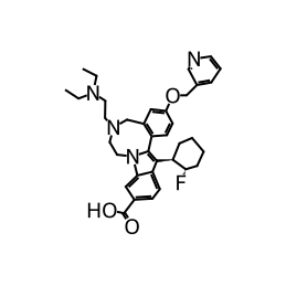 CCN(CC)CCN1CCn2c(c([C@H]3CCCC[C@@H]3F)c3ccc(C(=O)O)cc32)-c2ccc(OCc3cccnc3)cc2C1